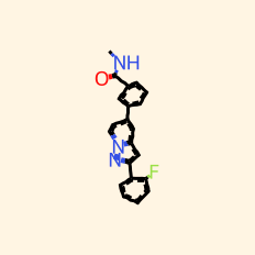 CNC(=O)c1cccc(-c2ccn3nc(-c4ccccc4F)cc3c2)c1